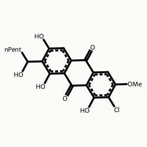 CCCCCC(O)c1c(O)cc2c(c1O)C(=O)c1c(cc(OC)c(Cl)c1O)C2=O